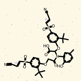 Cc1ccc(O)c(N(C(=O)COc2ccc(S(=O)(=O)/C=C/C#N)cc2C(C)(C)C)C(Oc2ccc(S(=O)(=O)/C=C/C#N)cc2C(C)(C)C)C(=O)O)c1